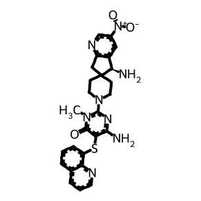 Cn1c(N2CCC3(CC2)Cc2ncc([N+](=O)[O-])cc2[C@H]3N)nc(N)c(Sc2cccc3cccnc23)c1=O